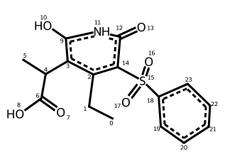 CCc1c(C(C)C(=O)O)c(O)[nH]c(=O)c1S(=O)(=O)c1ccccc1